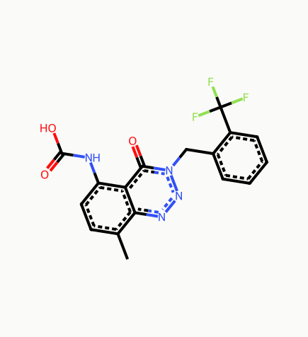 Cc1ccc(NC(=O)O)c2c(=O)n(Cc3ccccc3C(F)(F)F)nnc12